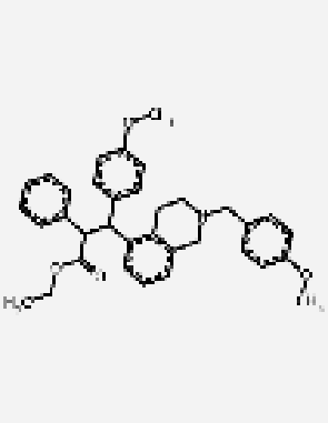 CCOC(=O)C(c1ccccc1)C(c1ccc(OC)cc1)c1cccc2c1CCN(Cc1ccc(OC)cc1)C2